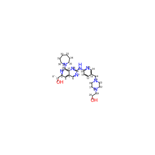 C[C@@H](O)c1cc2cnc(Nc3ccc(CN4CCN(CCO)CC4)cn3)nc2c(N2CCCCCC2)n1